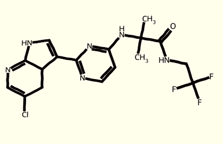 CC(C)(Nc1ccnc(C2=CNC3=NC=C(Cl)CC23)n1)C(=O)NCC(F)(F)F